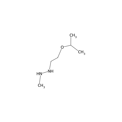 CNNCCOC(C)C